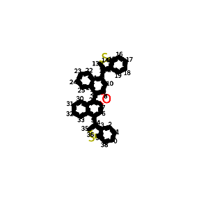 c1ccc2c(-c3cc4oc5cc(-c6csc7ccccc67)c6ccccc6c5c4c4ccccc34)csc2c1